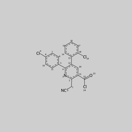 N#CCc1nc(-c2ccc(Cl)cc2)c(-c2ccccc2Cl)cc1C(=O)Cl